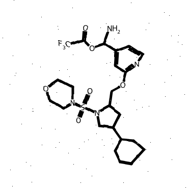 NC(OC(=O)C(F)(F)F)c1ccnc(OCC2CC(C3CCCCC3)CN2S(=O)(=O)N2CCOCC2)c1